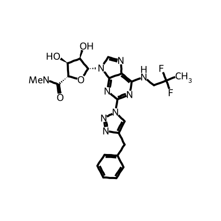 CNC(=O)[C@H]1O[C@@H](n2cnc3c(NCC(C)(F)F)nc(-n4cc(Cc5ccccc5)nn4)nc32)[C@H](O)[C@@H]1O